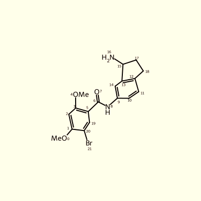 COc1cc(OC)c(C(=O)Nc2ccc3c(c2)C(N)CC3)cc1Br